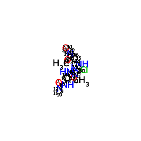 COc1cc(NC(=O)N2CCCC2)ccc1Nc1ncc(Cl)c(Nc2ccc(N3CCOCC3)c(OC)c2)n1